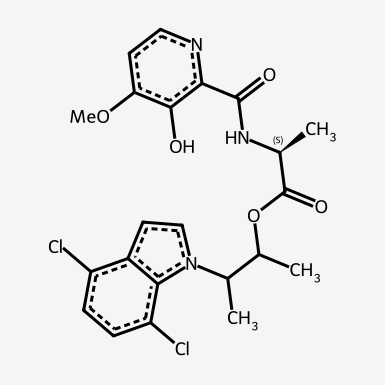 COc1ccnc(C(=O)N[C@@H](C)C(=O)OC(C)C(C)n2ccc3c(Cl)ccc(Cl)c32)c1O